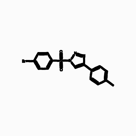 Cc1ccc(-c2cn(S(=O)(=O)c3ccc(Br)cc3)nn2)cc1